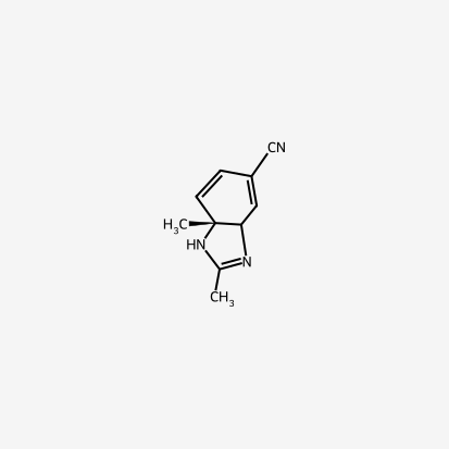 CC1=NC2C=C(C#N)C=C[C@@]2(C)N1